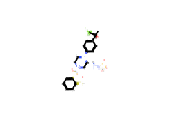 CC(O)(c1ccc(N2CCN(S(=O)(=O)C3=CC=CCC3=S)C[C@H]2CNS(=O)(=O)O)cc1)C(F)(F)F